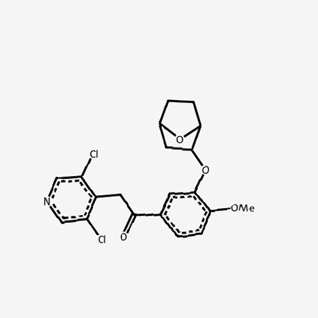 COc1ccc(C(=O)Cc2c(Cl)cncc2Cl)cc1OC1CC2CCC1O2